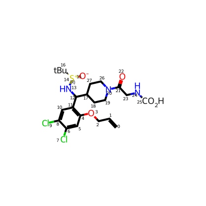 C=CCOc1cc(Cl)c(Cl)cc1C(N[S@@+]([O-])C(C)(C)C)C1CCN(C(=O)CNC(=O)O)CC1